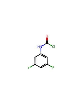 O=C(Cl)Nc1cc(F)cc(F)c1